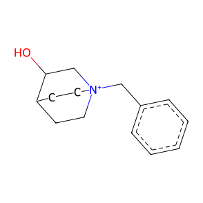 OC1C[N+]2(Cc3ccccc3)CCC1CC2